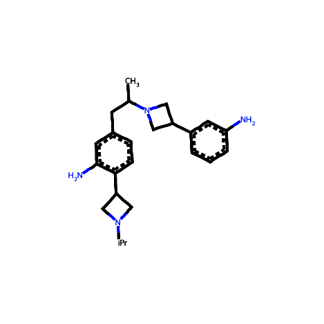 CC(C)N1CC(c2ccc(CC(C)N3CC(c4cccc(N)c4)C3)cc2N)C1